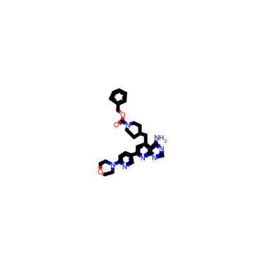 Nc1ncnc2nc(-c3ccc(N4CCOCC4)nc3)cc(CC3CCN(C(=O)OCc4ccccc4)CC3)c12